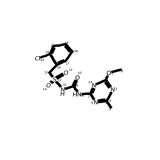 COc1nc(C)nc(NC(=O)NS(=O)(=O)Cc2ccccc2Cl)n1